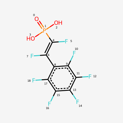 O=P(O)(O)C(F)=C(F)c1c(F)c(F)c(F)c(F)c1F